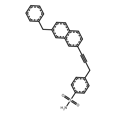 NS(=O)(=O)c1ccc(CC#Cc2ccc3ccc(Cc4ccccc4)cc3c2)cc1